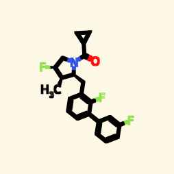 C[C@H]1[C@@H](F)CN(C(=O)C2CC2)[C@H]1Cc1cccc(-c2cccc(F)c2)c1F